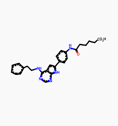 O=C(O)CCCCC(=O)Nc1ccc(-c2cc3c(NCCc4ccccc4)ncnc3[nH]2)cc1